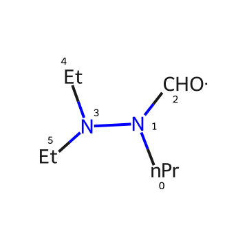 CCCN([C]=O)N(CC)CC